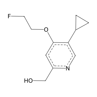 OCc1cc(OCCF)c(C2CC2)cn1